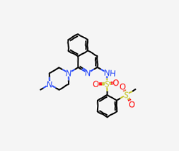 CN1CCN(c2nc(NS(=O)(=O)c3ccccc3S(C)(=O)=O)cc3ccccc23)CC1